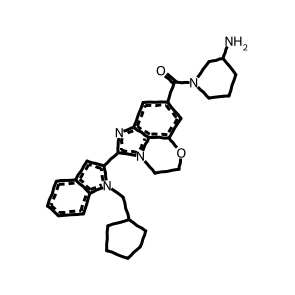 NC1CCCN(C(=O)c2cc3c4c(c2)nc(-c2cc5ccccc5n2CC2CCCCC2)n4CCO3)C1